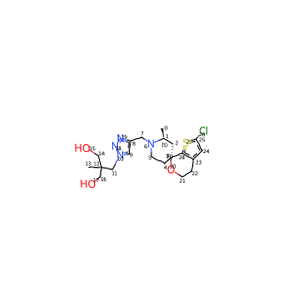 C[C@H]1C[C@@]2(CCN1Cc1cn(CC(C)(CO)CO)nn1)OCCc1cc(Cl)sc12